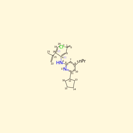 C=C(Cl)/C=C(Nc1cc(CCC)cc(C2CCCC2)n1)\C(=C/C)C(=C)C